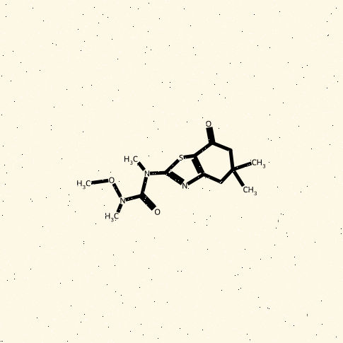 CON(C)C(=O)N(C)c1nc2c(s1)C(=O)CC(C)(C)C2